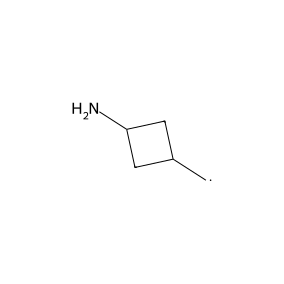 [CH2]C1CC(N)C1